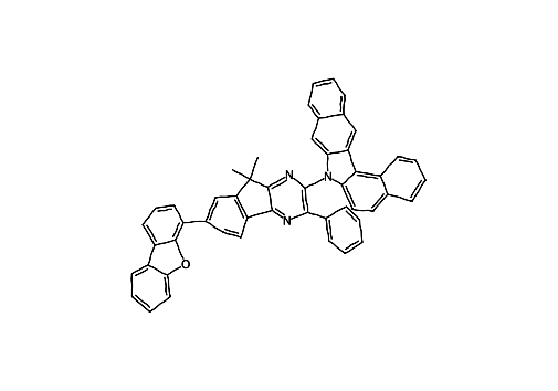 CC1(C)c2cc(-c3cccc4c3oc3ccccc34)ccc2-c2nc(-c3ccccc3)c(-n3c4cc5ccccc5cc4c4c5ccccc5ccc43)nc21